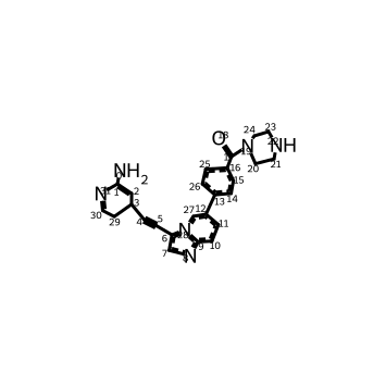 NC1=CC(C#Cc2cnc3ccc(-c4ccc(C(=O)N5CCNCC5)cc4)cn23)CC=N1